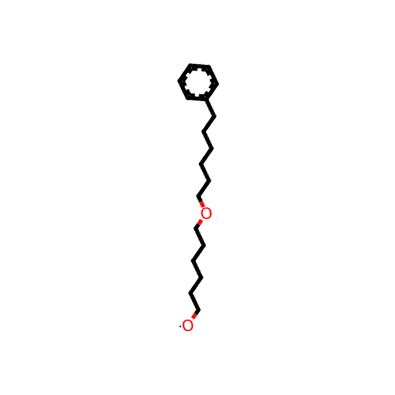 [O]CCCCCCOCCCCCCc1ccccc1